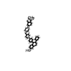 CN1Cc2cc(N3CCN(CC4CCN(c5ccc(C6c7ccc(O)cc7CCC6c6ccccc6)cc5)CC4)CC3)ccc2C1=O